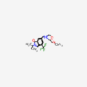 COCC1CN(Cc2cc3c(c(C(F)(F)F)c2)CN(C(C)C)C3=O)CCO1